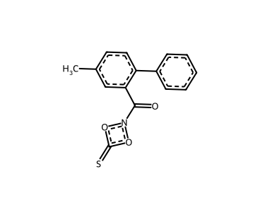 Cc1ccc(-c2ccccc2)c(C(=O)n2oc(=S)o2)c1